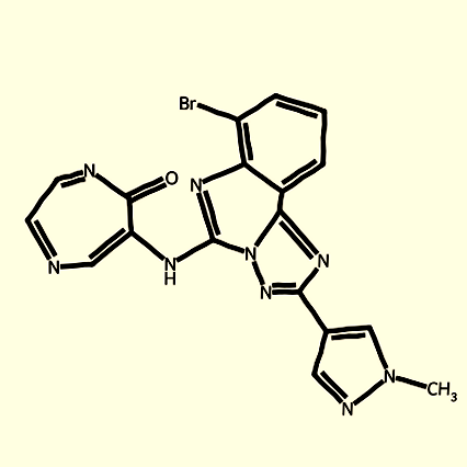 Cn1cc(-c2nc3c4cccc(Br)c4nc(Nc4cnccnc4=O)n3n2)cn1